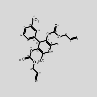 C=CCOC(=O)OC1=C(C)NC(CC)=C(OC(=O)OCC=C)C1c1cccc([N+](=O)[O-])c1